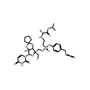 CC(C)OC(=O)[C@H](C)NCCP(=O)(OC[C@@]1(CF)O[C@@H](n2ccc(=O)[nH]c2=O)[C@]2(C)OC3(CCCC3)OC12)Oc1ccc(CN=[N+]=[N-])cc1